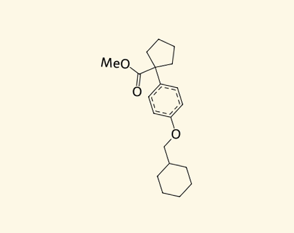 COC(=O)C1(c2ccc(OCC3CCCCC3)cc2)CCCC1